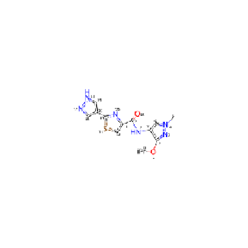 CC(C)Oc1nn(C)cc1NC(=O)c1csc(-c2cn[nH]c2)n1